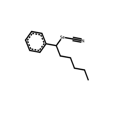 CCCCCC([Se]C#N)c1ccccc1